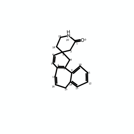 O=C1CC2(C=CC3=C(C2)c2ccccc2CC=C3)CCN1